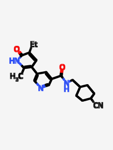 CCc1cc(-c2cncc(C(=O)NCC3CCC(C#N)CC3)c2)c(C)[nH]c1=O